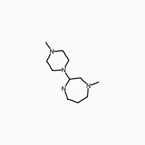 CN1CCN(C2CN(C)CCC[N]2)CC1